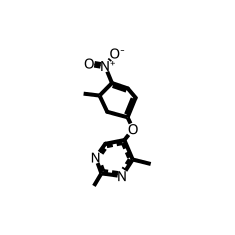 Cc1ncc(OC2=CC=C([N+](=O)[O-])C(C)C2)c(C)n1